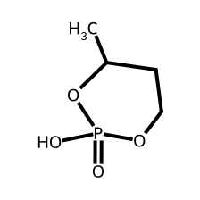 CC1CCOP(=O)(O)O1